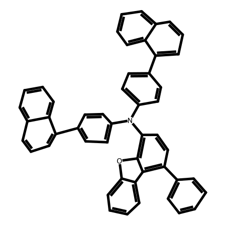 c1ccc(-c2ccc(N(c3ccc(-c4cccc5ccccc45)cc3)c3ccc(-c4cccc5ccccc45)cc3)c3oc4ccccc4c23)cc1